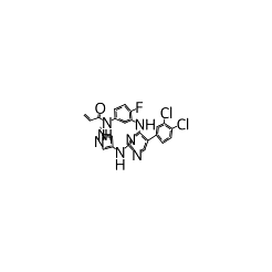 C=CC(=O)Nc1ccc(F)c(Nc2nc(Nc3cnn(C)c3)ncc2-c2ccc(Cl)c(Cl)c2)c1